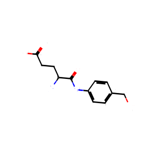 NC(CCC(=O)O)C(=O)Nc1ccc(CO)cc1